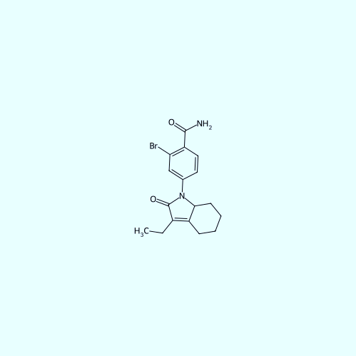 CCC1=C2CCCCC2N(c2ccc(C(N)=O)c(Br)c2)C1=O